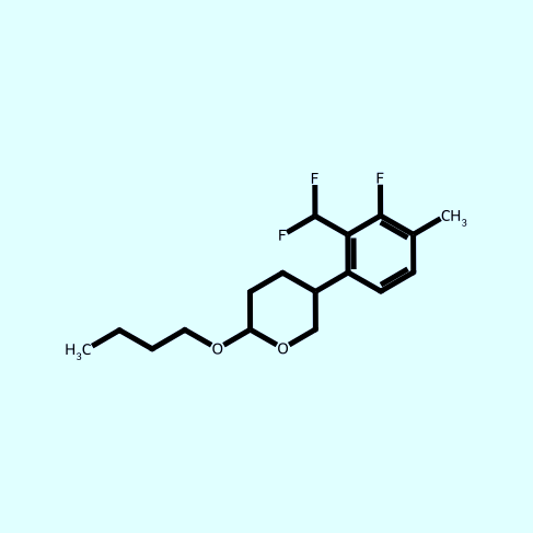 CCCCOC1CCC(c2ccc(C)c(F)c2C(F)F)CO1